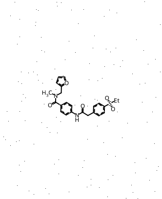 CCS(=O)(=O)c1ccc(CC(=O)Nc2ccc(C(=O)N(C)Cc3ccco3)cc2)cc1